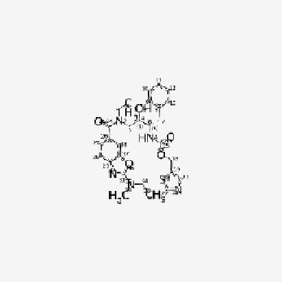 CCN(C[C@@H](O)[C@H](Cc1ccccc1)NC(=O)OCc1cncs1)C(=O)c1ccc2nc(N(C)CC)oc2c1